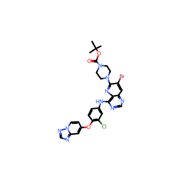 CC(C)(C)OC(=O)N1CCN(c2nc3c(Nc4ccc(Oc5ccn6ncnc6c5)c(Cl)c4)ncnc3cc2Br)CC1